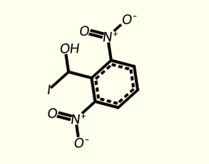 O=[N+]([O-])c1cccc([N+](=O)[O-])c1C(O)I